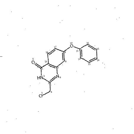 O=c1[nH]c(CCl)nc2cc(Oc3ccccc3)ccc12